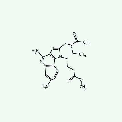 CCN(Cc1nc2c(N)nc3cc(C)ccc3c2n1CCCC(=O)OC)C(C)=O